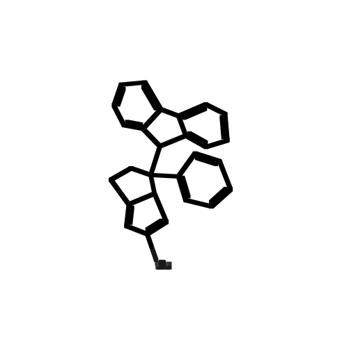 CC(C)(C)C1=CC2C(=C1)CCC2(c1ccccc1)C1c2ccccc2-c2ccccc21